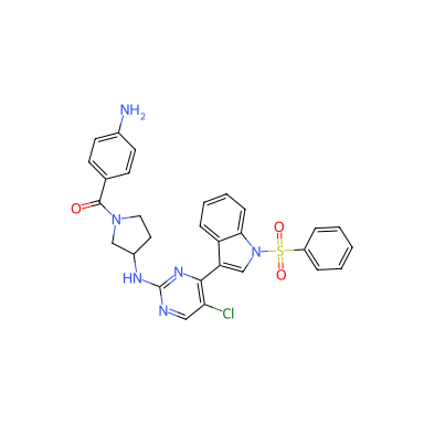 Nc1ccc(C(=O)N2CCC(Nc3ncc(Cl)c(-c4cn(S(=O)(=O)c5ccccc5)c5ccccc45)n3)C2)cc1